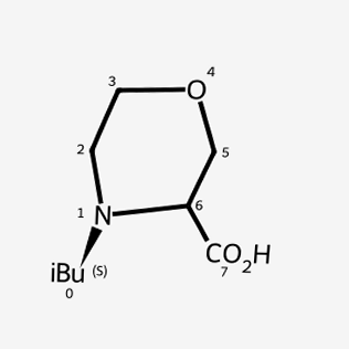 CC[C@H](C)N1CCOCC1C(=O)O